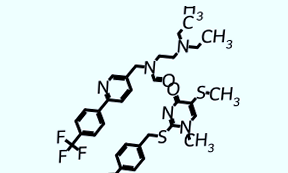 CCN(CC)CCN(C=O)Cc1ccc(-c2ccc(C(F)(F)F)cc2)nc1.CSc1cn(C)c(SCc2ccc(F)cc2)nc1=O